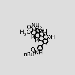 CCCCC(=O)Nc1ccc(-c2ccc(O)c3c2C[C@H]2C[C@H]4CC(C)=C(C(N)=O)C(=O)[C@@]4(O)C(O)=C2C3=O)cc1